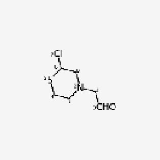 O=CCN1CCSC(Cl)C1